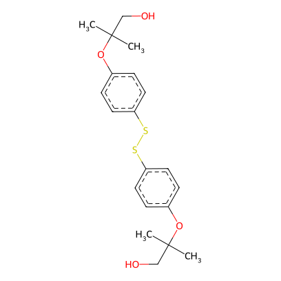 CC(C)(CO)Oc1ccc(SSc2ccc(OC(C)(C)CO)cc2)cc1